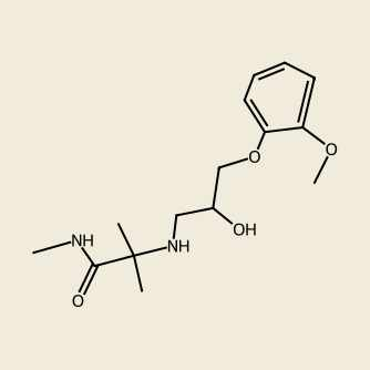 CNC(=O)C(C)(C)NCC(O)COc1ccccc1OC